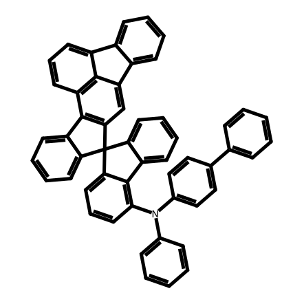 c1ccc(-c2ccc(N(c3ccccc3)c3cccc4c3-c3ccccc3C43c4ccccc4-c4c3cc3c5c(cccc45)-c4ccccc4-3)cc2)cc1